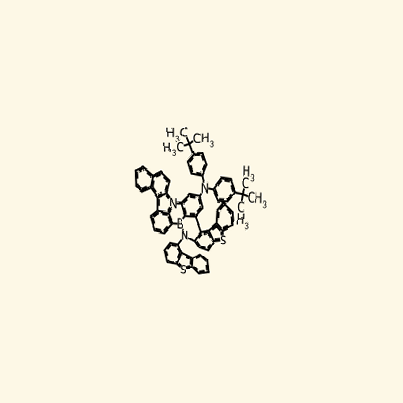 CC(C)(C)c1ccc(N(c2ccc(C(C)(C)C)cc2)c2cc3c4c(c2)-n2c5ccc6ccccc6c5c5cccc(c52)B4N(c2cccc4sc5ccccc5c24)c2ccc4sc5ccccc5c4c2-3)cc1